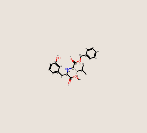 COC(=O)[C@@H](Cc1cccc(O)c1)N[C@@H](CC(C)C)C(=O)OCc1ccccc1